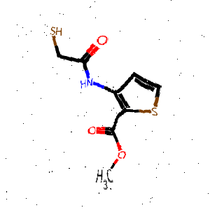 COC(=O)c1sccc1NC(=O)CS